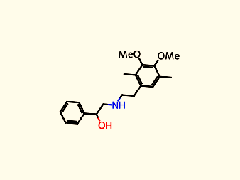 COc1c(C)cc(CCNCC(O)c2ccccc2)c(C)c1OC